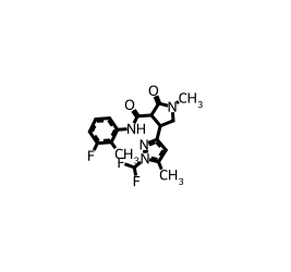 Cc1c(F)cccc1NC(=O)C1C(=O)N(C)CC1c1cc(C)n(C(F)F)n1